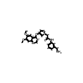 COc1cc2ncnc(Oc3cnn(CC(=O)Nc4cccc(CN)c4)c3)c2cc1OC